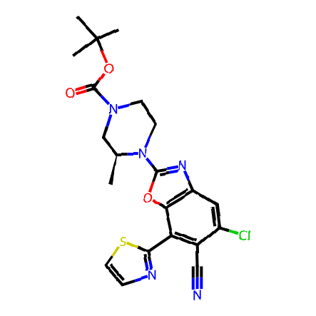 C[C@H]1CN(C(=O)OC(C)(C)C)CCN1c1nc2cc(Cl)c(C#N)c(-c3nccs3)c2o1